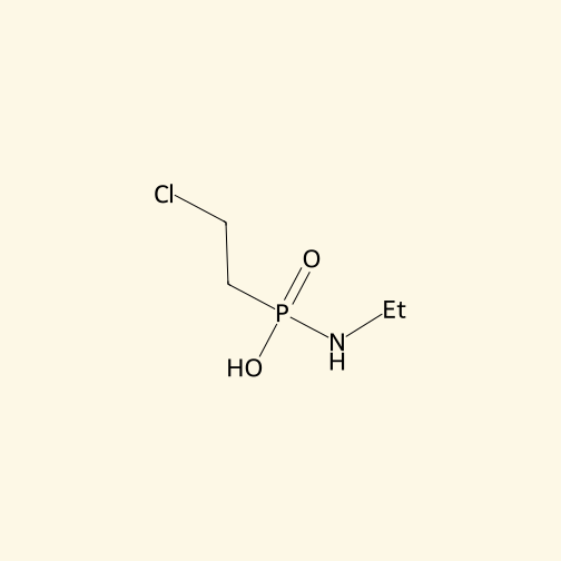 CCNP(=O)(O)CCCl